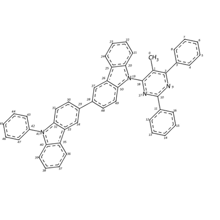 Cc1c(-c2ccccc2)nc(-c2ccccc2)nc1-n1c2ccccc2c2cc(-c3ccc4c(c3)c3ccccc3n4-c3ccccc3)ccc21